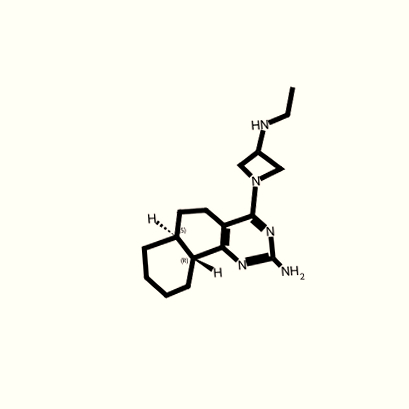 CCNC1CN(c2nc(N)nc3c2CC[C@@H]2CCCC[C@@H]32)C1